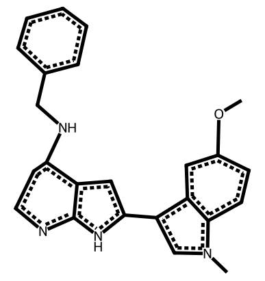 COc1ccc2c(c1)c(-c1cc3c(NCc4ccccc4)ccnc3[nH]1)cn2C